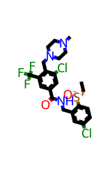 CC[S+]([O-])c1ccc(Cl)cc1CNC(=O)c1cc(Cl)c(CN2CCN(C)CC2)c(C(F)(F)F)c1